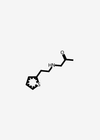 CC(=O)CNCCc1cccs1